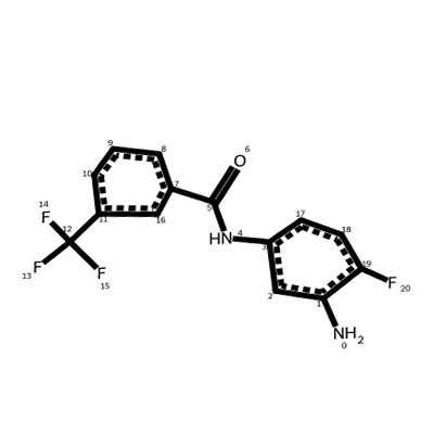 Nc1cc(NC(=O)c2cccc(C(F)(F)F)c2)ccc1F